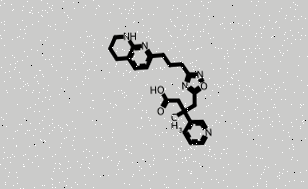 CC(CC(=O)O)(Cc1nc(CCCc2ccc3c(n2)NCCC3)no1)c1cccnc1